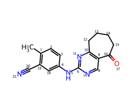 Cc1ccc(Nc2ncc3c(n2)CCCCC3=O)cc1C#N